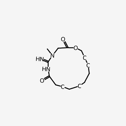 CN1CC(=O)OCCCCCCCCCC(=O)NC1=N